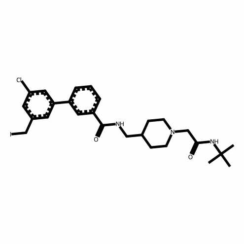 CC(C)(C)NC(=O)CN1CCC(CNC(=O)c2cccc(-c3cc(Cl)cc(CI)c3)c2)CC1